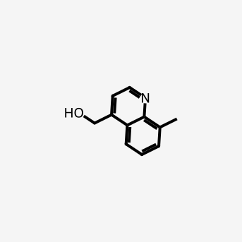 Cc1cccc2c(CO)ccnc12